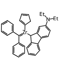 CCN(CC)c1ccc2c(c1)[CH]([Zr]([C]1=CC=CC1)=[C](c1ccccc1)c1ccccc1)c1ccccc1-2